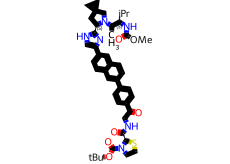 COC(=O)N[C@@H](C(C)C)C(C)N1CC2(CC2)C[C@H]1c1nc(-c2ccc3cc(-c4ccc(C(=O)CNC(=O)[C@@H]5SCCN5C(=O)OC(C)(C)C)cc4)ccc3c2)c[nH]1